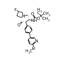 COc1ccc(-c2ccc([C@H](C=O)[C@H](CN3CCC(F)C3)NC(=O)OC(C)(C)C)cc2)cn1